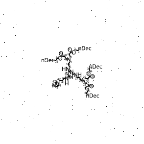 CCCCCCCCCCCCOC(=O)CCN(CCCNc1nc(NCCCN(CCC(=O)OCCCCCCCCCCCC)CCC(=O)OCCCCCCCCCCCC)nc(NCCCn2ccnc2)n1)CCC(=O)OCCCCCCCCCCCC